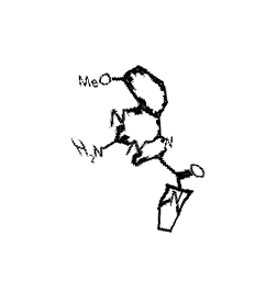 COc1cccc2c1nc(N)n1cc(C(=O)N3C4CCC3CC4)nc21